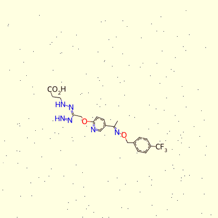 C/C(=N\OCc1ccc(C(F)(F)F)cc1)c1ccc(OC/C(N=N)=N/NCCC(=O)O)nc1